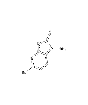 Bn1c(=O)oc2cc(C(C)CC)ccc21